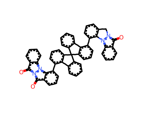 O=c1c2ccccc2n2n1Cc1cccc(-c3cccc4c3-c3ccccc3C43c4ccccc4-c4c(-c5cccc6c(=O)n7c(=O)c8ccccc8n7c56)cccc43)c1-2